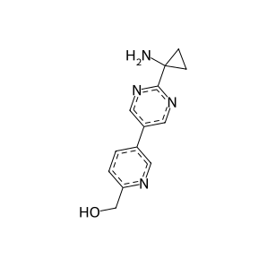 NC1(c2ncc(-c3ccc(CO)nc3)cn2)CC1